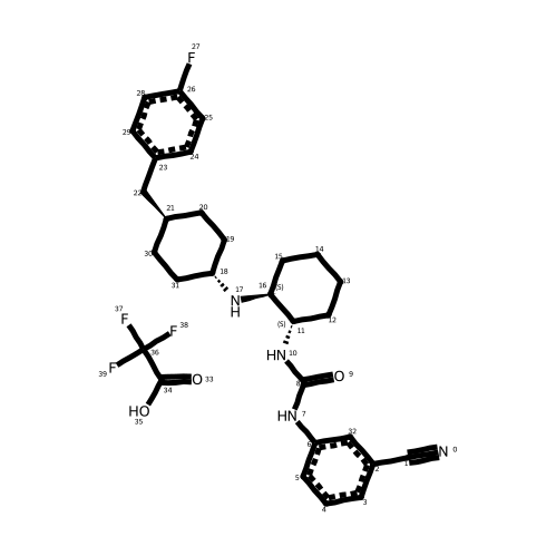 N#Cc1cccc(NC(=O)N[C@H]2CCCC[C@@H]2N[C@H]2CC[C@H](Cc3ccc(F)cc3)CC2)c1.O=C(O)C(F)(F)F